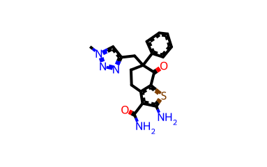 Cn1cc(CC2(c3ccccc3)CCc3c(sc(N)c3C(N)=O)C2=O)nn1